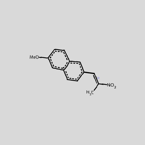 COc1ccc2cc(/C=C(\C)[N+](=O)[O-])ccc2c1